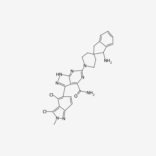 Cn1nc2ccc(-c3n[nH]c4nc(N5CCC6(CC5)Cc5ccccc5C6N)nc(C(N)=O)c34)c(Cl)c2c1Cl